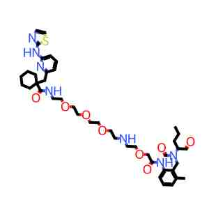 CCCC(C=O)N(C=O)Cc1c(C)cccc1NC(=O)COCCNCCOCCOCCOCCNC(=O)C1(Cc2cccc(Nc3nccs3)n2)CCCCC1